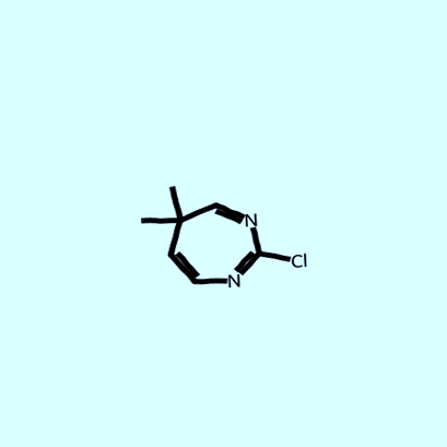 CC1(C)C=CN=C(Cl)N=C1